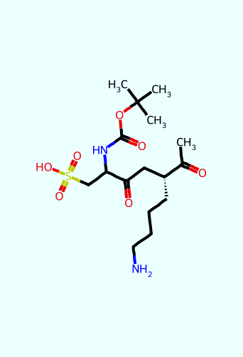 CC(=O)[C@H](CCCCN)CC(=O)C(CS(=O)(=O)O)NC(=O)OC(C)(C)C